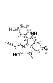 C#CCO/N=C1/c2c(OC)cc(OC)cc2-c2[nH]c3ccc(O)cc3c21.Cl